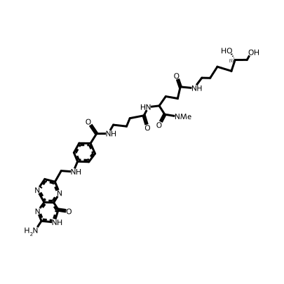 CNC(=O)C(CCC(=O)NCCCC[C@H](O)CO)NC(=O)CCCNC(=O)c1ccc(NCc2cnc3nc(N)[nH]c(=O)c3n2)cc1